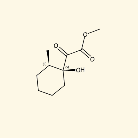 COC(=O)C(=O)[C@]1(O)CCCC[C@H]1C